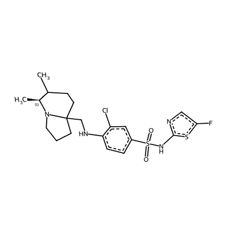 CC1CCC2(CNc3ccc(S(=O)(=O)Nc4ncc(F)s4)cc3Cl)CCCN2[C@H]1C